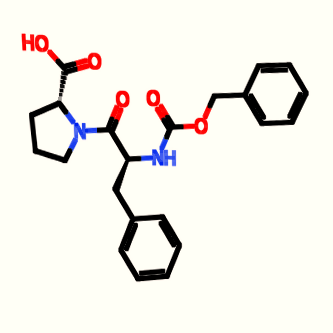 O=C(N[C@@H](Cc1ccccc1)C(=O)N1CCC[C@@H]1C(=O)O)OCc1ccccc1